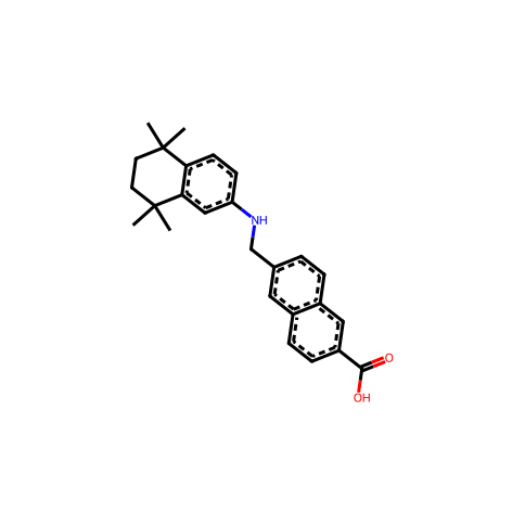 CC1(C)CCC(C)(C)c2cc(NCc3ccc4cc(C(=O)O)ccc4c3)ccc21